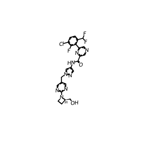 O=C(Nc1cnn(Cc2cnc(N3CC[C@@H]3CO)nc2)c1)c1cncc(-c2c(C(F)F)ccc(Cl)c2F)n1